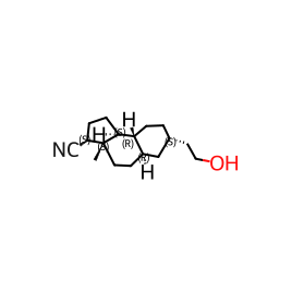 C[C@]12CC[C@@H]3C[C@@H](CCO)CC[C@H]3[C@@H]1CC[C@@H]2C#N